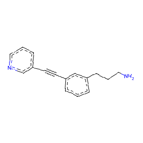 NCCCc1cccc(C#Cc2cccnc2)c1